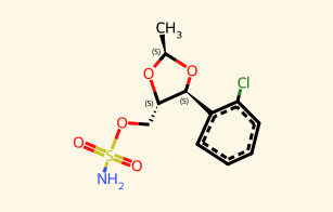 C[C@@H]1O[C@@H](COS(N)(=O)=O)[C@H](c2ccccc2Cl)O1